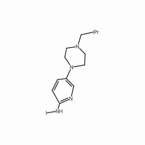 CC(C)CN1CCN(c2ccc(NI)nc2)CC1